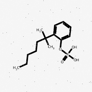 CCCCCC(C)(C)c1ccccc1OP(=O)(O)O